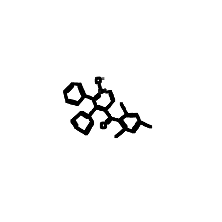 Cc1cc(C)c(C(=O)c2cc[p+]([O-])c(-c3ccccc3)c2-c2ccccc2)c(C)c1